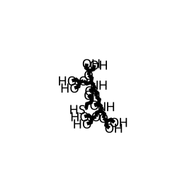 O=C(CN(CC(=O)NC(COC(CO)CO)COC(CO)CO)C(=O)CCCS)NC(COC(CO)CO)COC(CO)CO